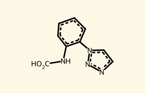 O=C(O)Nc1ccccc1-n1ccnn1